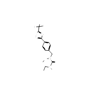 CCN(C)C(=O)N(Cc1ccc(-c2noc(C(F)(F)F)n2)cc1)OC